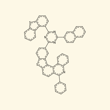 c1ccc(-c2nc3ccccc3c3c2ccc2sc4ccc(-c5nc(-c6ccc7ccccc7c6)nc(-c6cccc7sc8ccccc8c67)n5)cc4c23)cc1